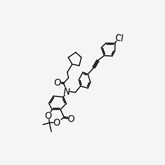 CC1(C)OC(=O)c2cc(N(Cc3ccc(C#Cc4ccc(Cl)cc4)cc3)C(=O)CCC3CCCC3)ccc2O1